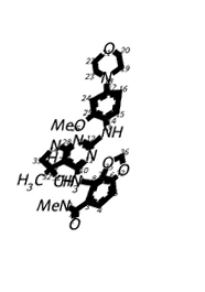 CNC(=O)c1ccc2c(c1Nc1nc(Nc3ccc(N4CCOCC4)cc3OC)nc3c1C(C)(C)CN3)OCO2